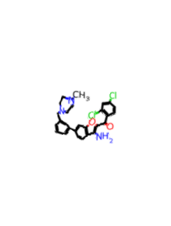 CN1CCN(Cc2cccc(-c3ccc4c(N)c(C(=O)c5ccc(Cl)cc5Cl)oc4c3)c2)CC1